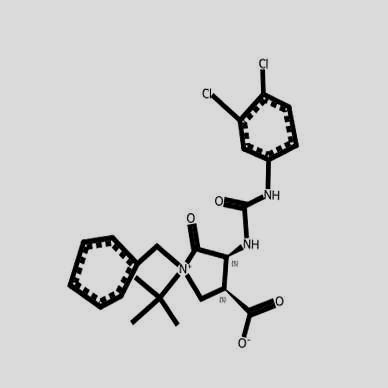 CC(C)(C)[N+]1(Cc2ccccc2)C[C@H](C(=O)[O-])[C@H](NC(=O)Nc2ccc(Cl)c(Cl)c2)C1=O